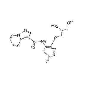 O=C(Nc1cc(Cl)ccc1OCC(O)CO)c1cnn2cccnc12